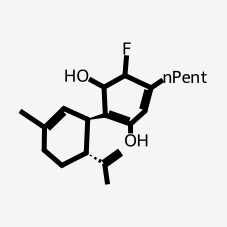 C=C(C)[C@@H]1CCC(C)=C[C@H]1C1=C(O)C=C(CCCCC)C(F)C1O